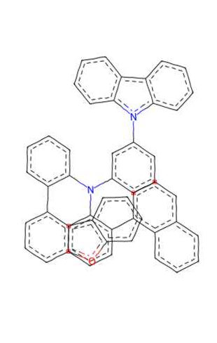 c1cc(N(c2ccccc2-c2cccc3ccccc23)c2ccccc2-c2cccc3oc4ccccc4c23)cc(-n2c3ccccc3c3ccccc32)c1